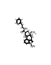 CCCn1cc2c3c(cccc31)[C@H]1C[C@@H](C(=O)NCCc3ccccn3)CN(C)[C@@H]1C2